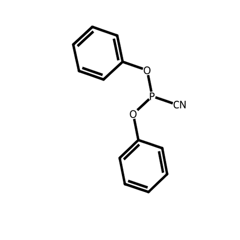 N#CP(Oc1ccccc1)Oc1ccccc1